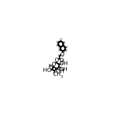 CC1C(O)[C@H]2O[C@@H](OC(=O)COc3ccc4ccccc4c3)[C@@H](O)[C@@H](O)[C@@]12O